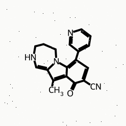 Cc1c2c(n3c1=CNCCC3)=C(c1cccnc1)C=C(C#N)C2=O